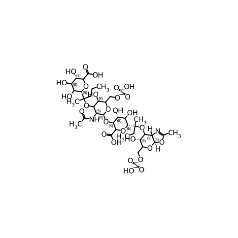 CCCC(C)(OC1[C@@H](O)C(COS(=O)(=O)O)O[C@@H](O[C@@H]2C(C(=O)O)O[C@@H](C(C)(CC)OC3[C@@H](O)C(COS(=O)(=O)O)O[C@@H]4OC(C)=N[C@@H]34)C(O)[C@H]2O)[C@H]1NC(C)=O)[C@@H]1OC(C(=O)O)[C@@H](O)[C@H](O)C1O